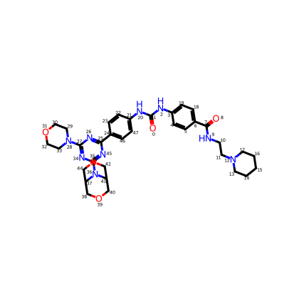 O=C(Nc1ccc(C(=O)NCCN2CCCCC2)cc1)Nc1ccc(-c2nc(N3CCOCC3)nc(N3C4COCC3COC4)n2)cc1